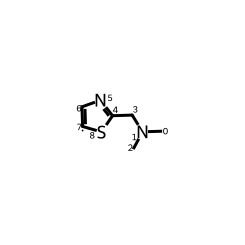 CN(C)Cc1nc[c]s1